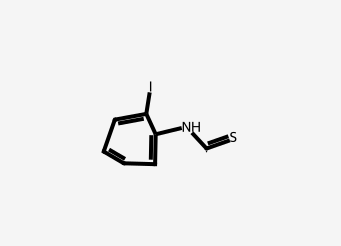 S=[C]Nc1ccccc1I